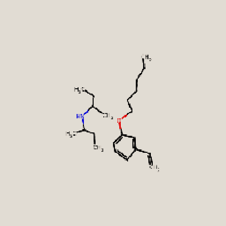 C=Cc1cccc(OCCCCCC)c1.CCC(C)NC(C)CC